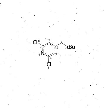 CC(C)(C)Cc1cc(Cl)nc(Cl)c1